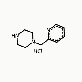 Cl.c1ccc(CN2CCNCC2)nc1